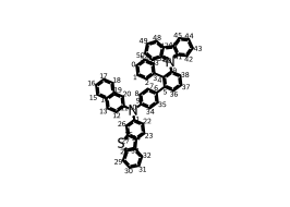 c1ccc(-c2c(-c3ccc(N(c4ccc5ccccc5c4)c4ccc5c(c4)sc4ccccc45)cc3)cccc2-n2c3ccccc3c3ccccc32)cc1